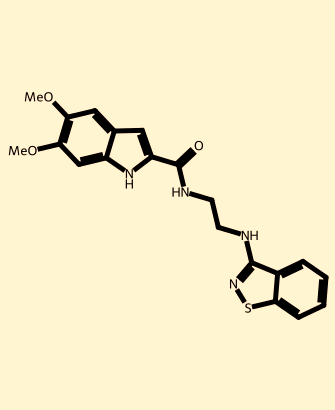 COc1cc2cc(C(=O)NCCNc3nsc4ccccc34)[nH]c2cc1OC